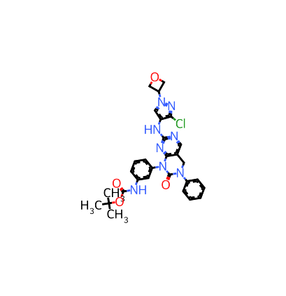 CC(C)(C)OC(=O)Nc1cccc(N2C(=O)N(c3ccccc3)Cc3cnc(Nc4cn(C5COC5)nc4Cl)nc32)c1